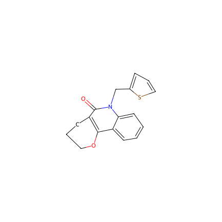 O=c1c2c(c3ccccc3n1Cc1cccs1)OCCC2